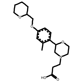 Cc1cc(OCC2CCCCO2)ccc1C1CN(CCC(=O)O)CCO1